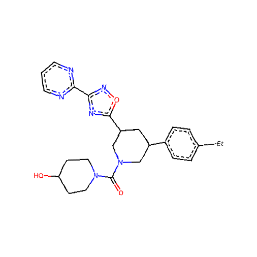 CCc1ccc(C2CC(c3nc(-c4ncccn4)no3)CN(C(=O)N3CCC(O)CC3)C2)cc1